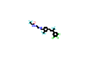 O=C(CC(F)(F)F)NCCNCc1ccc(/C=C/C(c2cc(Cl)c(Cl)c(Cl)c2)C(F)(F)F)cc1C(F)(F)F